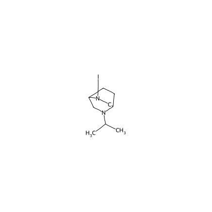 CC(C)N1CC2CCC1CN2I